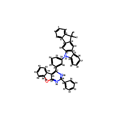 CC1(C)c2ccccc2-c2cc3c(cc21)c1ccccc1n3-c1cccc(-c2nc(-c3ccccc3)nc3oc4ccccc4c23)c1